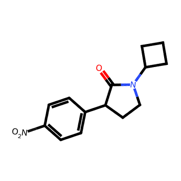 O=C1C(c2ccc([N+](=O)[O-])cc2)CCN1C1CCC1